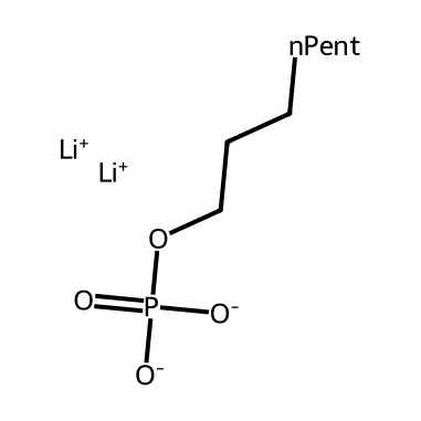 CCCCCCCCOP(=O)([O-])[O-].[Li+].[Li+]